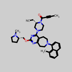 CC#CC(=O)N1CCN(c2nc(OC[C@@H]3CCCN3C)nc3c2CCN(c2cccc4cccc(C)c24)CC3)C[C@@H]1CC#N